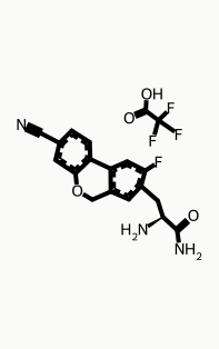 N#Cc1ccc2c(c1)OCc1cc(C[C@H](N)C(N)=O)c(F)cc1-2.O=C(O)C(F)(F)F